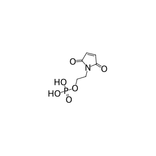 O=C1C=CC(=O)N1CCOP(=O)(O)O